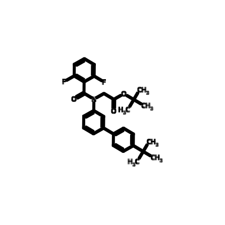 CC(C)(C)OC(=O)CN(C(=O)c1c(F)cccc1F)c1cccc(-c2ccc(C(C)(C)C)cc2)c1